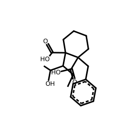 CCC(C(C)O)C1(C(=O)O)CCCCC1(Cc1ccccc1)C(=O)O